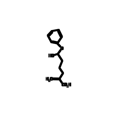 C=C(CCCC(O)Oc1ccccc1)C(=O)O